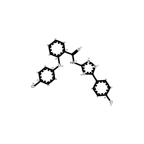 O=C(Nc1nnc(-c2ccc(Cl)cc2)o1)c1ccccc1Oc1ccc(Cl)cc1